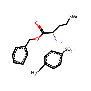 CSCC[C@H](N)C(=O)OCc1ccccc1.Cc1ccc(S(=O)(=O)O)cc1